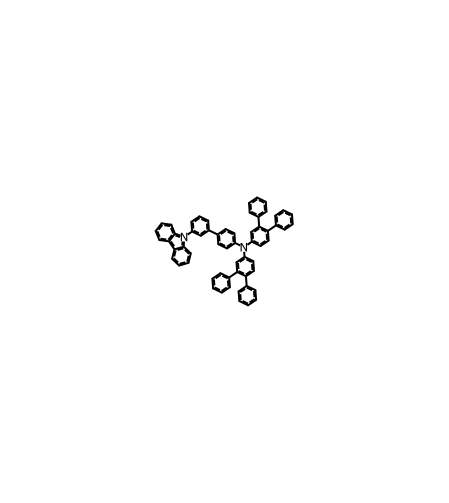 c1ccc(-c2ccc(N(c3ccc(-c4cccc(-n5c6ccccc6c6ccccc65)c4)cc3)c3ccc(-c4ccccc4)c(-c4ccccc4)c3)cc2-c2ccccc2)cc1